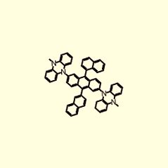 CN1C2=C(CCC=C2)N(c2ccc3c(-c4cccc5ccccc45)c4cc(N5c6ccccc6N(C)c6ccccc65)ccc4c(-c4ccc5ccccc5c4)c3c2)c2ccccc21